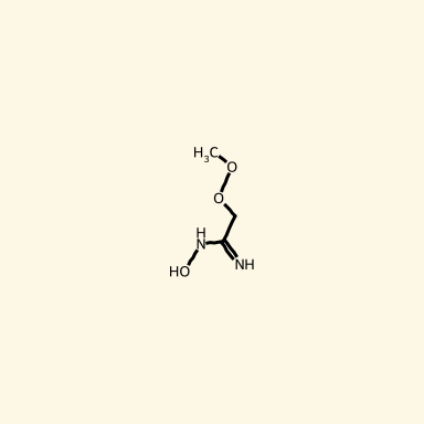 COOCC(=N)NO